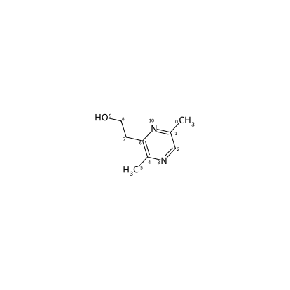 Cc1cnc(C)c(CCO)n1